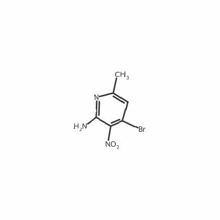 Cc1cc(Br)c([N+](=O)[O-])c(N)n1